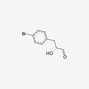 O=C[C@H](O)Cc1ccc(Br)cc1